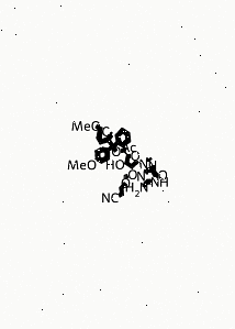 COc1ccc(C(OC(C(C)=O)[C@H]2O[C@@H](n3cnc4c(=O)[nH]c(N)nc43)[C@H](OCOCCC#N)[C@@H]2O)(c2ccccc2)c2ccc(OC)cc2)cc1